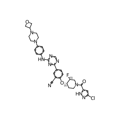 N#Cc1cc(-c2ncnc(Nc3ccc(N4CCN(C5COC5)CC4)cc3)n2)ccc1O[C@H]1CCN(C(=O)c2cc(Cl)n[nH]2)C[C@@H]1F